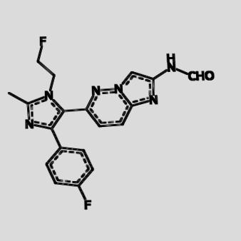 Cc1nc(-c2ccc(F)cc2)c(-c2ccc3nc(NC=O)cn3n2)n1CCF